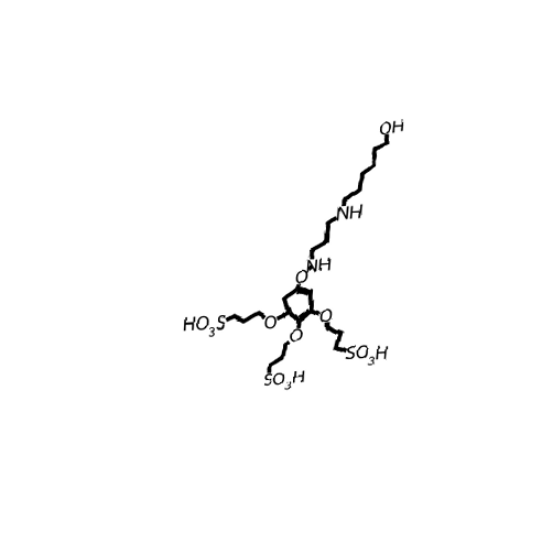 O=S(=O)(O)CCCOC1=C(OCCCS(=O)(=O)O)C(OCCCS(=O)(=O)O)CC(ONCCCNCCCCCCO)=C1